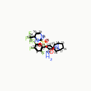 N[C@H](Cc1cc(F)c(F)cc1F)C1CC2CCC(C1)N2C(=O)CCS(=O)(=O)c1nccc(C(F)(F)F)n1